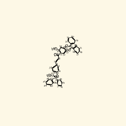 CC(C)(C)[Si](Oc1ccc(C=CC(=O)c2ccc(O[Si](c3ccccc3)(c3ccccc3)C(C)(C)C)cc2O)cc1)(c1ccccc1)c1ccccc1